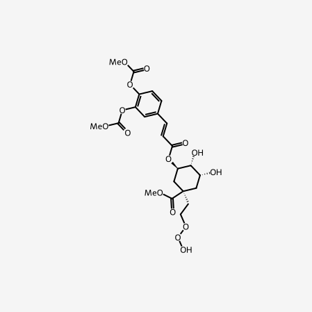 COC(=O)Oc1ccc(/C=C/C(=O)O[C@@H]2C[C@](CCOOO)(C(=O)OC)C[C@@H](O)[C@H]2O)cc1OC(=O)OC